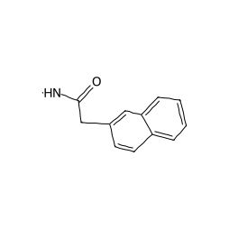 [NH]C(=O)Cc1ccc2ccccc2c1